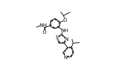 CNC(=O)c1ccc(OC(C)C)c(Nc2nc(-c3cnccc3C(C)C)cs2)c1